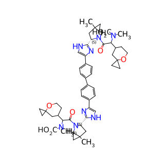 CN(C(=O)O)C(C(=O)N1[C@H](c2nc(-c3ccc(-c4ccc(-c5c[nH]c([C@@H]6CC7(C)C[C@H]7N6C(=O)C(C6CCOC7(CC7)C6)N(C)C(=O)O)n5)cc4)cc3)c[nH]2)CC2(C)C[C@@H]12)C1CCOC2(CC2)C1